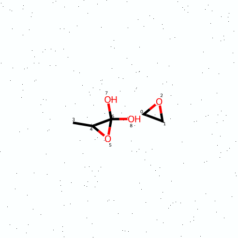 C1CO1.CC1OC1(O)O